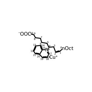 CCCCCCCC/C=C\CCCCCCCC(=O)[O-].[Cu+].c1ccc2ncccc2c1